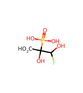 O=C(O)C(O)(C(O)F)P(=O)(O)O